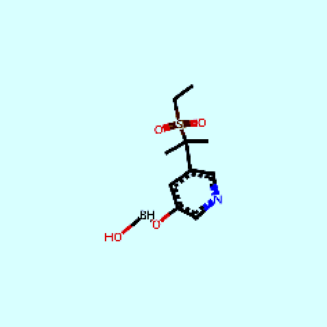 CCS(=O)(=O)C(C)(C)c1cncc(OBO)c1